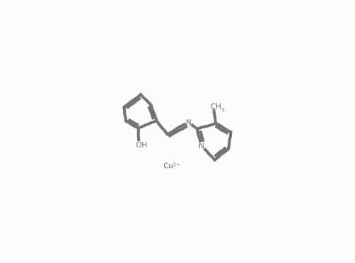 Cc1cccnc1N=Cc1ccccc1O.[Cu+2]